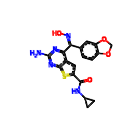 Nc1nc(/C(=N\O)c2ccc3c(c2)OCO3)c2cc(C(=O)NC3CC3)sc2n1